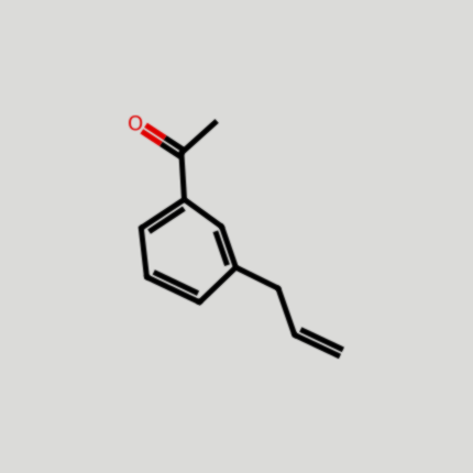 C=CCc1cccc(C(C)=O)c1